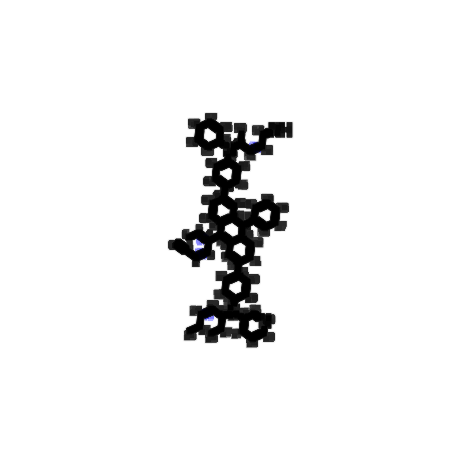 C#C/C=C\C(=C/C)C1=C2C=C(C3=CCC(N(c4cccnc4)C(/C=C\CC)CC)C=C3)C=CC2C(c2ccccc2)c2cc(-c3ccc(N(C(C)/C=C\C=N)C4C=CC=CC4)cc3)ccc21